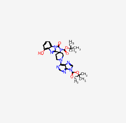 CC(C)(C)OC(=O)N1C(=O)n2c(nc3c(O)cccc32)C12CCN(c1ncnc3c1ncn3C(=O)OC(C)(C)C)CC2